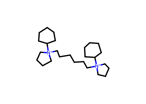 C1CCC([N+]2(CCCCCC[N+]3(C4CCCCC4)CCCC3)CCCC2)CC1